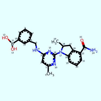 Cc1cc(NCc2cccc(B(O)O)c2)nc(N2c3cccc(C(N)=O)c3CC2C)n1